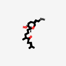 CC(=O)OCC=C1CC[C@@H](O)[C@](C)(CCCC(C)C(=O)CC=C(C)C)OC1